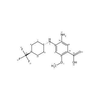 COc1cc(N[C@H]2CC[C@H](C(F)(F)F)CC2)c(N)cc1C(=O)O